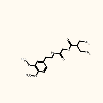 CCC(CC)C(=O)OCC(=O)NCCc1ccc(OC)c(OC)c1